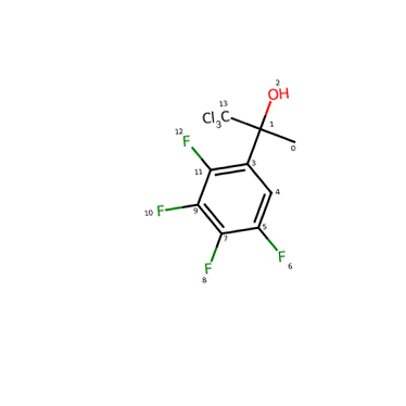 CC(O)(c1cc(F)c(F)c(F)c1F)C(Cl)(Cl)Cl